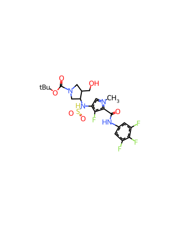 Cn1cc(N(C2CN(C(=O)OC(C)(C)C)CC2CO)[SH](=O)=O)c(F)c1C(=O)Nc1cc(F)c(F)c(F)c1